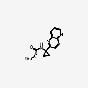 CC(C)(C)OC(=O)NC1(c2ccc3ncccc3n2)CC1